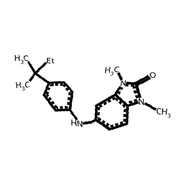 CCC(C)(C)c1ccc(Nc2ccc3c(c2)n(C)c(=O)n3C)cc1